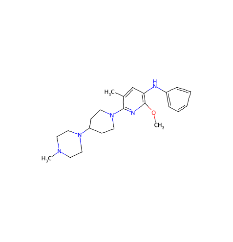 COc1nc(N2CCC(N3CCN(C)CC3)CC2)c(C)cc1Nc1ccccc1